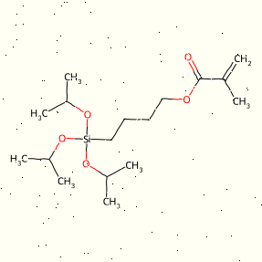 C=C(C)C(=O)OCCCC[Si](OC(C)C)(OC(C)C)OC(C)C